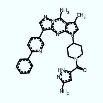 Cc1cn(C2CCN(C(=O)c3cc(N)n[nH]3)CC2)c2nc3c(-c4ccc(-c5ccccc5)nc4)cnn3c(N)c12